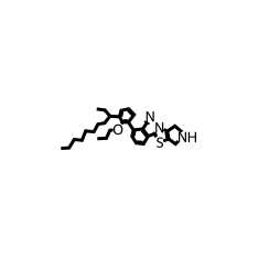 CCCCCCCCC(CC)c1cccc(-c2cccc(-c3nc4c(s3)CNCC4)c2C#N)c1OCCC